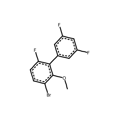 COc1c(Br)ccc(F)c1-c1cc(F)cc(F)c1